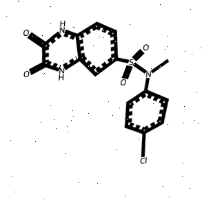 CN(c1ccc(Cl)cc1)S(=O)(=O)c1ccc2[nH]c(=O)c(=O)[nH]c2c1